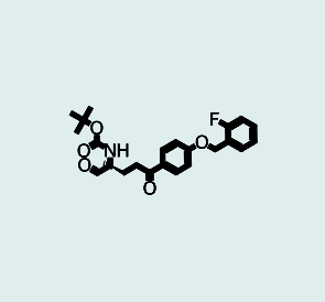 CC(C)(C)OC(=O)N[C@H](C=O)CCC(=O)c1ccc(OCc2ccccc2F)cc1